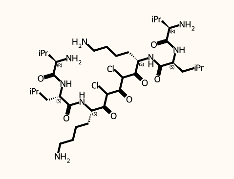 CC(C)C[C@H](NC(=O)[C@H](N)C(C)C)C(=O)N[C@@H](CCCCN)C(=O)C(Cl)C(=O)C(Cl)C(=O)[C@H](CCCCN)NC(=O)[C@H](CC(C)C)NC(=O)[C@H](N)C(C)C